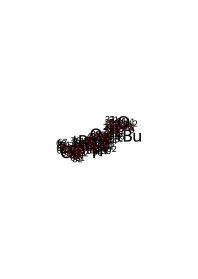 C=CC1=CC=C(OC2=CCC(C3(C4C=CC(C(C)(C)C)=CC4)c4ccccc4C4CCC(C5C=C(N(C6=CC7C(C=C6)OC6CCC(N(C8=CCCC(c9ccc%10c(c9)C(c9ccc(Oc%11ccc(C=C)cc%11)cc9)(c9ccc(C(C)(C)C)cc9)C9=C%10C=CCC9)=C8)c8ccc(F)c(F)c8)=CC67)C6CCC(F)=C(F)C6)C=CC5)=CC43)C=C2)CC1